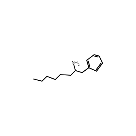 CCCCCCC(N)Cc1ccccc1